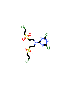 O=S(=O)(CCCl)CCN(CCS(=O)(=O)CCCl)c1nc(Cl)nc(Cl)n1